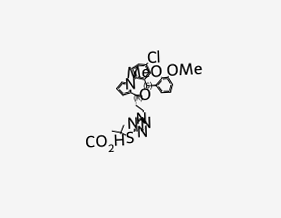 COc1cccc([C@H]2O[C@H](CCn3nnc(SC(C)(C)C(=O)O)n3)c3cccn3-c3ccc(Cl)cc32)c1OC